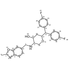 Cc1nc2ccc(CNC3COC(C(c4ccc(F)cc4)c4ccc(F)cc4)CC3O)cc2o1